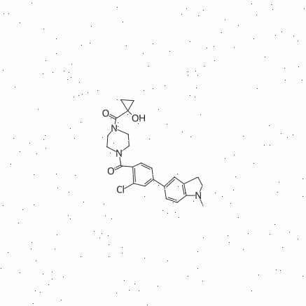 CN1CCc2cc(-c3ccc(C(=O)N4CCN(C(=O)C5(O)CC5)CC4)c(Cl)c3)ccc21